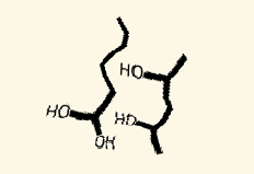 CC(O)CC(C)O.CCCCC(O)O